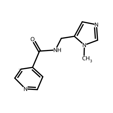 Cn1cncc1CNC(=O)c1[c]cncc1